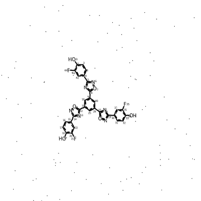 Oc1ccc(-c2noc(-c3cc(-c4nc(-c5ccc(O)c(F)c5)no4)cc(-c4nc(-c5ccc(O)c(F)c5)no4)c3)n2)cc1F